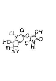 CCCC1(CC)Cc2cc(OC3=C(O)C(=O)NC3=O)c(Cl)c(Cl)c2C1O